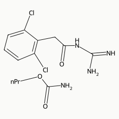 CCCOC(N)=O.N=C(N)NC(=O)Cc1c(Cl)cccc1Cl